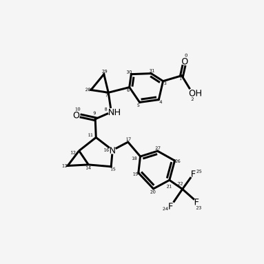 O=C(O)c1ccc(C2(NC(=O)C3C4CC4CN3Cc3ccc(C(F)(F)F)cc3)CC2)cc1